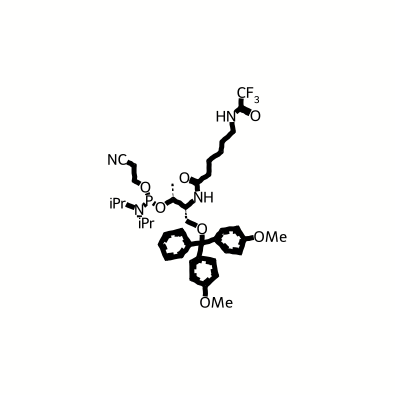 COc1ccc(C(OC[C@@H](NC(=O)CCCCCNC(=O)C(F)(F)F)[C@@H](C)OP(OCCC#N)N(C(C)C)C(C)C)(c2ccccc2)c2ccc(OC)cc2)cc1